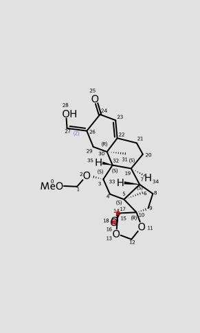 COCO[C@H]1C[C@@]2(C)[C@@H](CC[C@@]23OCOC32COCO2)[C@@H]2CCC3=CC(=O)/C(=C\O)C[C@]3(C)[C@H]21